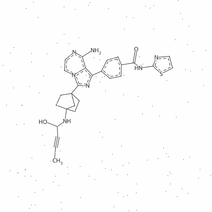 CC#CC(O)NC12CCC(c3nc(-c4ccc(C(=O)Nc5nccs5)cc4)c4c(N)nccn34)(CC1)C2